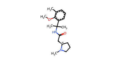 COc1c(C)cccc1C(C)(C)NC(=O)C[C@H]1CCCN1C